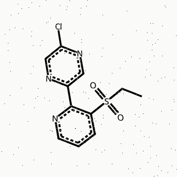 CCS(=O)(=O)c1cccnc1-c1cnc(Cl)cn1